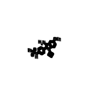 CCOc1ccc2c(c1)c(N)c(-c1ccc(NS(=O)(=O)CC)cc1)n2C1CCC1